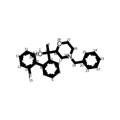 CC(O)(c1ccccc1-c1ccccc1F)C1CN(Cc2ccccc2)CCO1